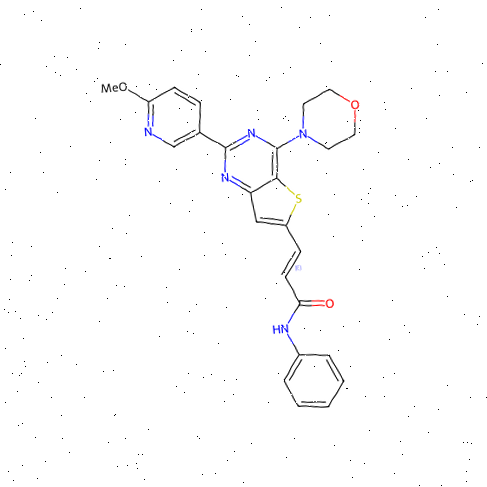 COc1ccc(-c2nc(N3CCOCC3)c3sc(/C=C/C(=O)Nc4ccccc4)cc3n2)cn1